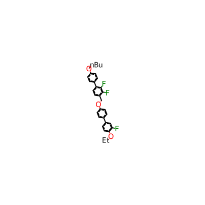 CCCCOc1ccc(-c2ccc(COc3ccc(-c4ccc(OCC)c(F)c4)cc3)c(F)c2F)cc1